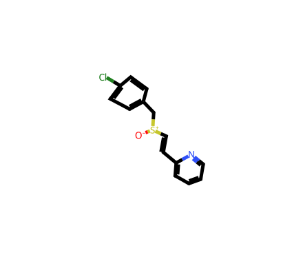 [O-][S+](C=Cc1ccccn1)Cc1ccc(Cl)cc1